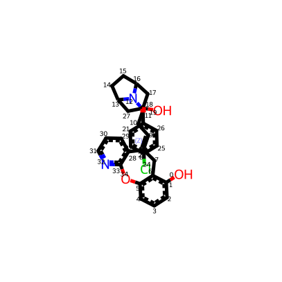 Oc1cccc2c1C/C(=C/CCN1C3CCC1CC(O)(c1ccc(Cl)cc1)C3)c1cccnc1O2